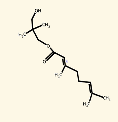 CC(C)=CCC/C(C)=C/C(=O)OCC(C)(C)CO